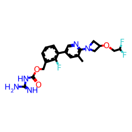 Cc1cc(-c2cccc(COC(=O)NC(=N)N)c2F)cnc1N1CC(OCC(F)F)C1